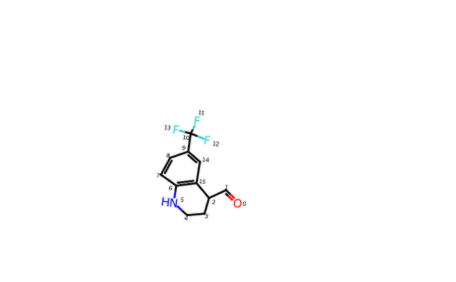 O=CC1CCNc2ccc(C(F)(F)F)cc21